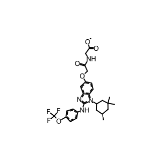 COC(=O)CNC(=O)COc1ccc2c(c1)nc(Nc1ccc(OC(F)(F)F)cc1)n2C1C[C@H](C)CC(C)(C)C1